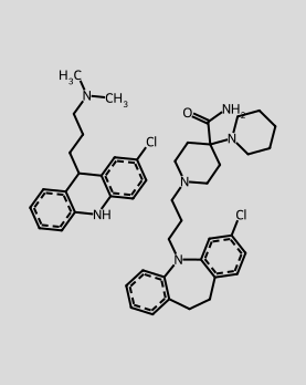 CN(C)CCCC1c2ccccc2Nc2ccc(Cl)cc21.NC(=O)C1(N2CCCCC2)CCN(CCCN2c3ccccc3CCc3ccc(Cl)cc32)CC1